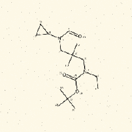 CCN(CC(C)(C)CN(C=O)C1CC1)C(=O)OC(C)(C)C